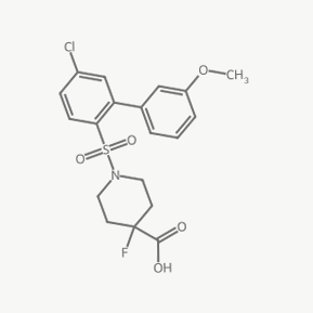 COc1cccc(-c2cc(Cl)ccc2S(=O)(=O)N2CCC(F)(C(=O)O)CC2)c1